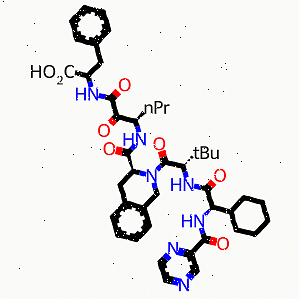 CCC[C@@H](NC(=O)[C@@H]1Cc2ccccc2CN1C(=O)[C@@H](NC(=O)[C@H](NC(=O)c1cnccn1)C1CCCCC1)C(C)(C)C)C(=O)C(=O)NC(Cc1ccccc1)C(=O)O